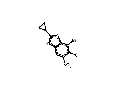 Cc1c([N+](=O)[O-])cc2[nH]c(C3CC3)nc2c1Br